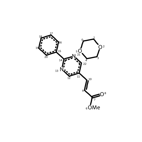 C1COCCO1.COC(=O)C=Cc1cnc(-c2ccccc2)nc1